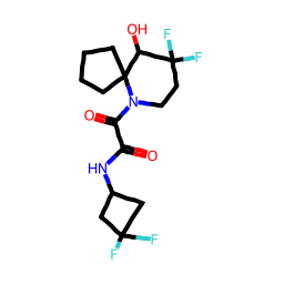 O=C(NC1CC(F)(F)C1)C(=O)N1CCC(F)(F)C(O)C12CCCC2